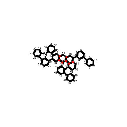 c1ccc(-c2cccc(-c3ccc(N(c4cccc(-c5cccc6c7ccccc7n(-c7ccccc7)c56)c4)c4cccc(-c5ccccc5)c4-c4ccccc4-c4ccccc4)cc3)c2)cc1